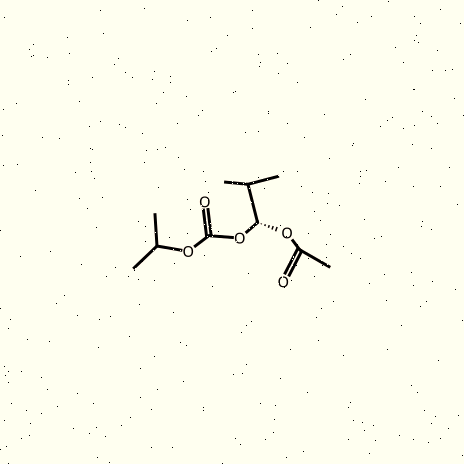 CC(=O)O[C@H](OC(=O)OC(C)C)C(C)C